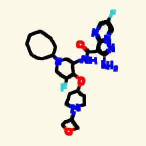 Nc1nn2cc(F)cnc2c1C(=O)NC1CN(C2CCCCCCC2)CC(F)C1OC1CCN(C2COC2)CC1